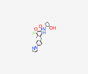 COc1c(C(=O)N[C@H]2CCC[C@@H]2O)cc(Cc2ccc(-n3cccn3)cc2)c(C)c1F